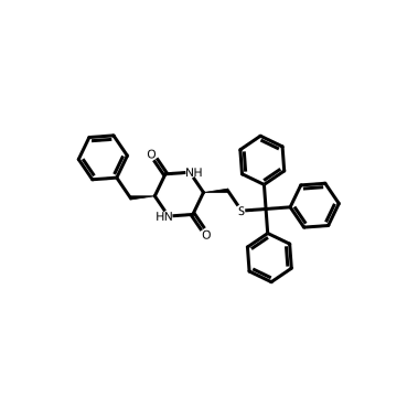 O=C1N[C@@H](Cc2ccccc2)C(=O)N[C@H]1CSC(c1ccccc1)(c1ccccc1)c1ccccc1